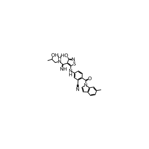 Cc1ccc2ccn(C(=O)c3ccc(Nc4snc(O)c4C(=N)NCC(C)O)cc3C#N)c2c1